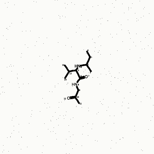 CCC(C)NC(C(=O)NCC(C)=O)C(C)C